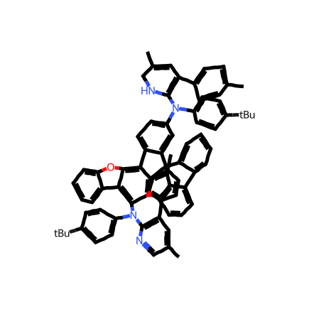 CC1=CC(c2ccc(C)cc2)=C(N(c2ccc(C(C)(C)C)cc2)c2ccc3c(c2)C2(c4ccccc4-c4ccccc42)c2cc(N(c4ccc(C(C)(C)C)cc4)c4ncc(C)cc4-c4ccc(C)cc4)c4c(oc5ccccc54)c2-3)NC1